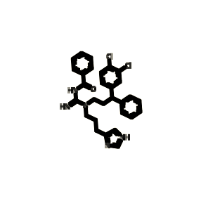 N=C(NC(=O)c1ccccc1)N(CCCc1c[nH]cn1)CCC(c1ccccc1)c1ccc(Cl)c(Cl)c1